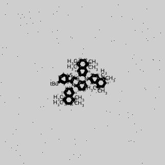 CC(C)(C)c1ccc2sc3c(c2c1)N(c1ccc2c(c1)C(C)(C)CCC2(C)C)c1cccc2c1B3c1cc3c(cc1N2c1ccc2c(c1)C(C)(C)CCC2(C)C)C(C)(C)CCC3(C)C